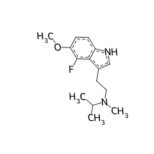 COc1ccc2[nH]cc(CCN(C)C(C)C)c2c1F